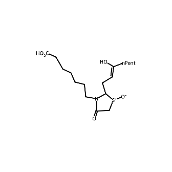 CCCCCC(O)=CCC1N(CCCCCCC(=O)O)C(=O)C[S+]1[O-]